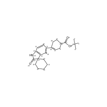 CC(C)(C)OC(=O)N1CC=C(c2ccc3c(n2)C2(CCCCC2)C(=O)N3)CC1